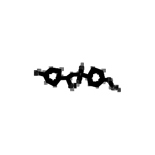 COc1ccc(S(=O)(=O)CC(O)c2ccc(Br)cc2)cc1